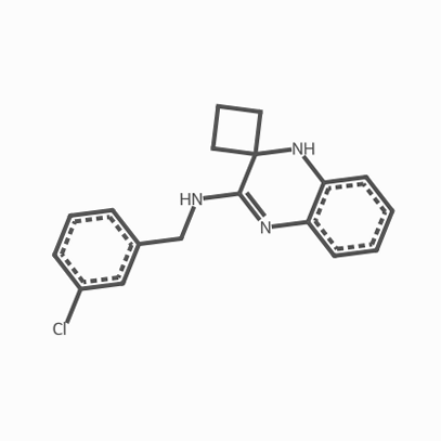 Clc1cccc(CNC2=Nc3ccccc3NC23CCC3)c1